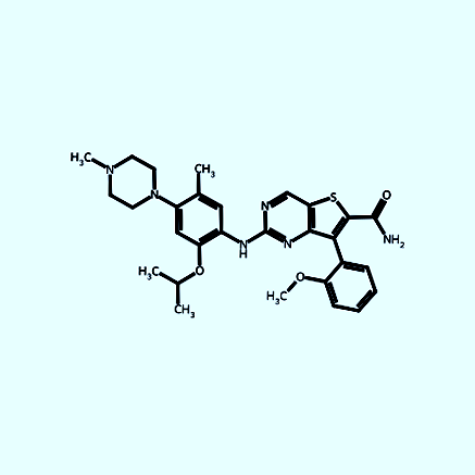 COc1ccccc1-c1c(C(N)=O)sc2cnc(Nc3cc(C)c(N4CCN(C)CC4)cc3OC(C)C)nc12